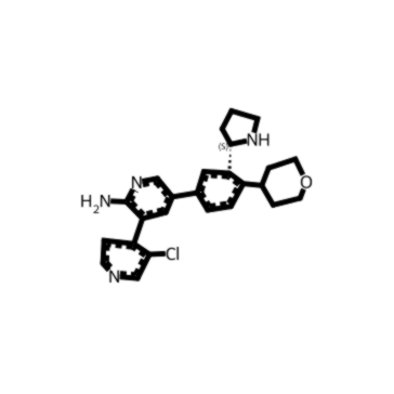 Nc1ncc(-c2ccc(C3CCOCC3)c([C@@H]3CCCN3)c2)cc1-c1ccncc1Cl